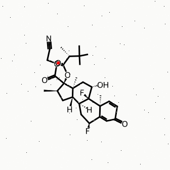 C[C@@H]1C[C@H]2[C@@H]3C[C@H](F)C4=CC(=O)C=C[C@]4(C)[C@@]3(F)[C@@H](O)C[C@]2(C)[C@@]1(OC(=O)[C@H](C)C(C)(C)C)C(=O)OCC#N